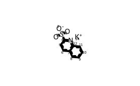 O=S(=O)([O-])c1ccc2ccccc2n1.[K+]